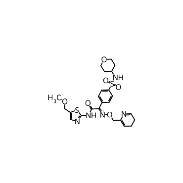 COCc1cnc(NC(=O)/C(=N/OCC2=CCCC=N2)c2ccc(S(=O)(=O)NC3CCOCC3)cc2)s1